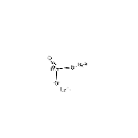 [Ba+2].[La+3].[O]=[Mn]([O-])[O-]